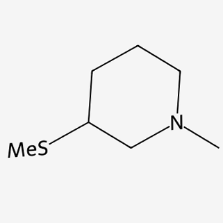 CSC1CCCN(C)C1